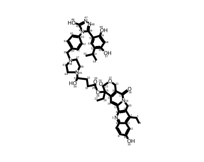 CCc1c2c(nc3ccc(O)cc13)-c1cc3c(c(=O)n1C2)COC(=O)C3(CC)OC(=O)CCC(O)N1CCN(Cc2ccc(-n3c(O)nnc3-c3cc(C(C)C)c(O)cc3O)cc2)CC1